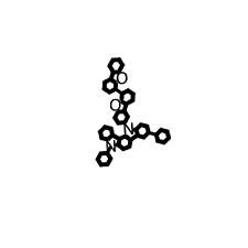 c1ccc(-c2ccc3c(c2)c2ccc4c(c5ccccc5n4-c4ccccc4)c2n3-c2ccc3oc4c(-c5cccc6c5oc5ccccc56)cccc4c3c2)cc1